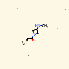 C=CC(=O)N1CC(NC)C1